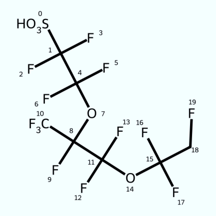 O=S(=O)(O)C(F)(F)C(F)(F)OC(F)(C(F)(F)F)C(F)(F)OC(F)(F)CF